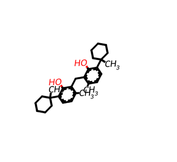 Cc1ccc(C2(C)CCCCC2)c(O)c1Cc1c(C)ccc(C2(C)CCCCC2)c1O